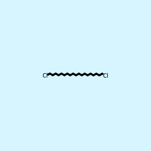 ClCCCCCCCCCCCCCCCCCCCCl